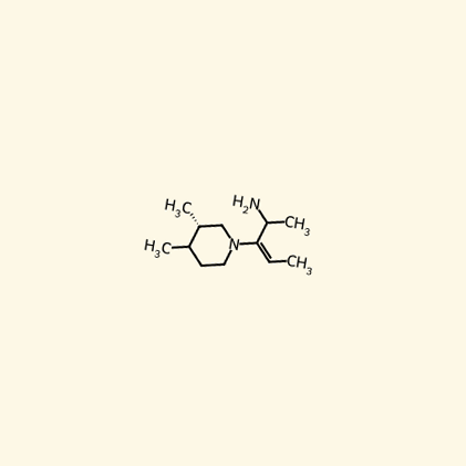 C/C=C(\C(C)N)N1CCC(C)[C@H](C)C1